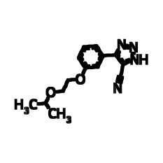 CC(C)OCCOc1cccc(-c2nn[nH]c2C#N)c1